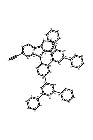 N#Cc1ccc2c3ccccc3n(-c3ccc(-c4cc(-c5ccccc5)nc(-c5ccccc5)n4)cc3-c3cc(-c4ccccc4)nc(-c4ccccc4)n3)c2c1